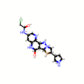 O=C(CCl)Nc1cnc2c(c1)[nH]c(=O)c1c2nn2cc(-c3cc[nH]c3)sc12